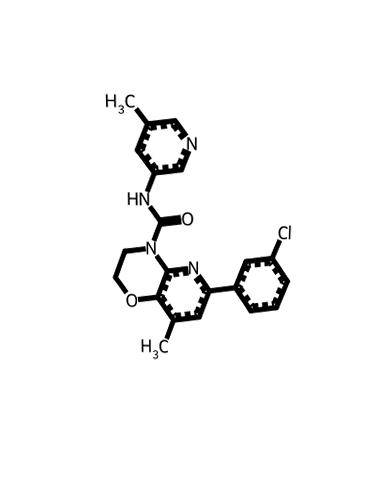 Cc1cncc(NC(=O)N2CCOc3c(C)cc(-c4cccc(Cl)c4)nc32)c1